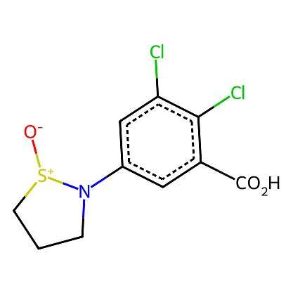 O=C(O)c1cc(N2CCC[S+]2[O-])cc(Cl)c1Cl